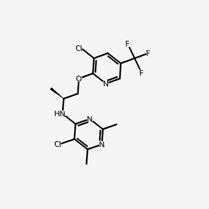 Cc1nc(C)c(Cl)c(N[C@@H](C)COc2ncc(C(F)(F)F)cc2Cl)n1